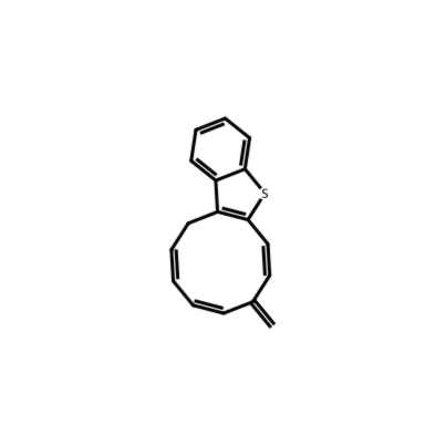 C=C1/C=C\C=C/Cc2c(sc3ccccc23)/C=C\1